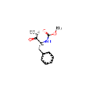 CC(C)(C)OC(=O)N[C@H](Cc1ccccc1)C(=O)C(=O)O